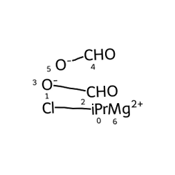 CC(C)Cl.O=C[O-].O=C[O-].[Mg+2]